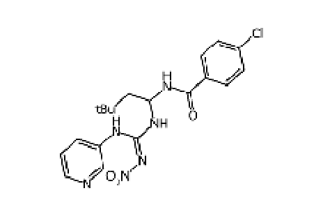 CC(C)(C)CC(NC(=O)c1ccc(Cl)cc1)N/C(=N/[N+](=O)[O-])Nc1cccnc1